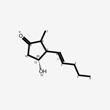 CCC/C=C/C1C(C)C(=O)C[C@H]1O